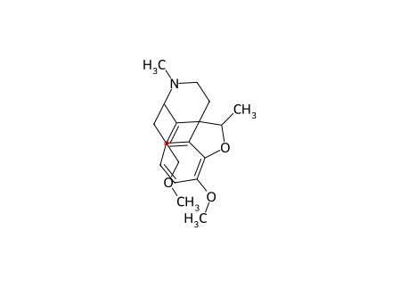 COC/C=C1/C2Cc3ccc(OC)c4c3C1(CCN2C)C(C)O4